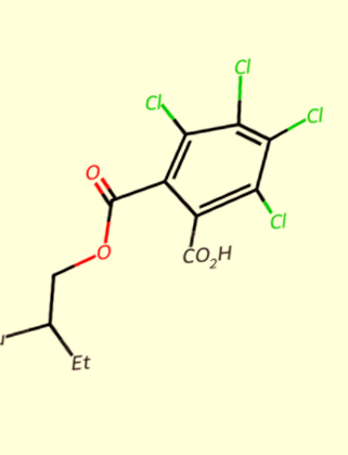 CCCCC(CC)COC(=O)c1c(Cl)c(Cl)c(Cl)c(Cl)c1C(=O)O